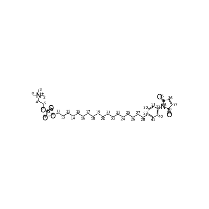 C[N+](C)(C)CCOP(=O)([O-])OCCCCCCCCCCCCCCCCCCc1ccc(N2C(=O)C=CC2=O)cc1